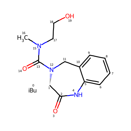 CC[C@H](C)[C@H]1C(=O)Nc2ccccc2CN1C(=O)N(C)CCO